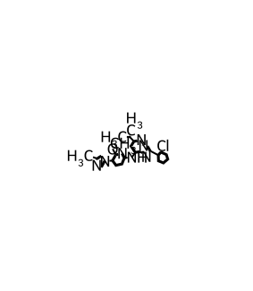 COc1nc(Nc2cc(C(C)C)nn3cc(-c4ccccc4Cl)nc23)ccc1-n1cnc(C)c1